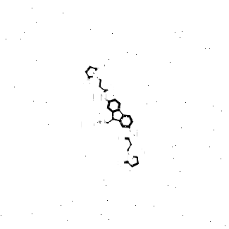 COCC1c2cc(NC(=O)CCN3C(=O)C=CC3=O)ccc2-c2ccc(NC(=O)CCN3C(=O)C=CC3=O)cc21